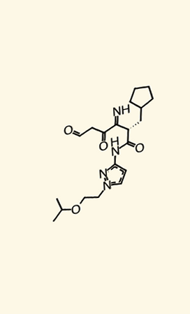 CC(C)OCCn1ccc(NC(=O)[C@@H](CC2CCCC2)C(=N)C(=O)CC=O)n1